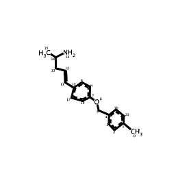 Cc1ccc(COc2ccc(C=CCC(C)N)cc2)cc1